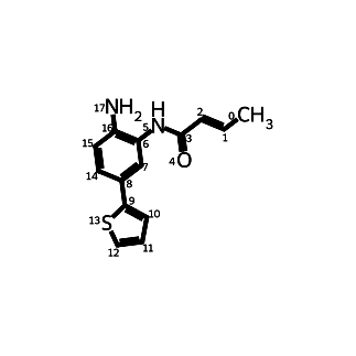 C/C=C/C(=O)Nc1cc(-c2cccs2)ccc1N